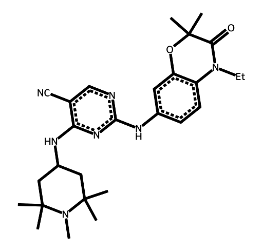 CCN1C(=O)C(C)(C)Oc2cc(Nc3ncc(C#N)c(NC4CC(C)(C)N(C)C(C)(C)C4)n3)ccc21